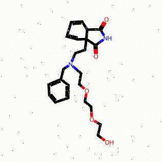 O=C1NC(=O)C2(CCN(CCOCCOCCO)Cc3ccccc3)C=CC=CC12